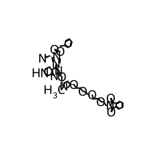 CN1C[C@H](OCCOCCOCCOCCN2C(=O)c3ccccc3C2=O)C[C@H]1COc1nc2c(c(N3CCN(C(=O)OCc4ccccc4)[C@@H](CC#N)C3)n1)CCNC2